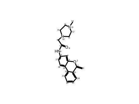 C=C1Oc2cc(NC(=O)CN3CCN(C)CC3)ccc2-c2ccccc21